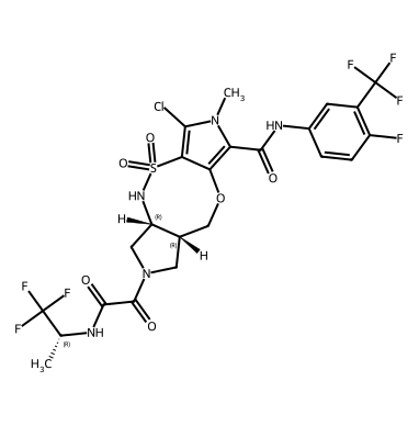 C[C@@H](NC(=O)C(=O)N1C[C@H]2COc3c(c(Cl)n(C)c3C(=O)Nc3ccc(F)c(C(F)(F)F)c3)S(=O)(=O)N[C@H]2C1)C(F)(F)F